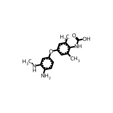 CNc1cc(Oc2cc(C)c(NC(=O)O)c(C)c2)ccc1N